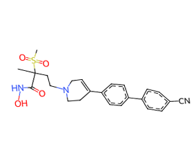 CC(CCN1CC=C(c2ccc(-c3ccc(C#N)cc3)cc2)CC1)(C(=O)NO)S(C)(=O)=O